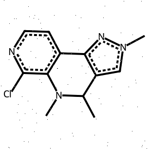 CC1c2cn(C)nc2-c2ccnc(Cl)c2N1C